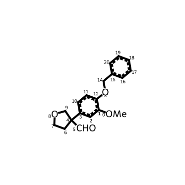 COc1cc(C2(C=O)CCOC2)ccc1OCc1ccccc1